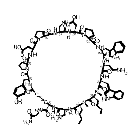 CCCC[C@H]1C(=O)N(C)[C@@H](CCCC)C(=O)N[C@@H](CN)C(=O)N[C@H](C(=O)NCC(N)=O)CSCC(=O)N[C@@H](Cc2ccc(O)cc2)C(=O)N2CCC[C@H]2C(=O)NC(CC(=O)O)C(=O)N2CCC[C@H]2C(=O)N[C@@H](CN)C(=O)N[C@@H](CC(=O)O)C(=O)N2CCC[C@H]2C(=O)N[C@@H](Cc2c[nH]c3ccccc23)C(=O)N[C@@H](CCN)C(=O)N[C@@H](Cc2c[nH]c3ccccc23)C(=O)N1C